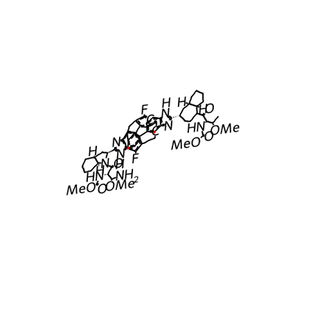 COC(=O)N[C@H](C(=O)C1CC[C@H](c2nc3cc(-c4cc5cc(F)c4CCc4cc(F)c(c(-c6ccc7[nH]c([C@@H]8C[C@@H]9CCCC[C@@H]9N8C(=O)[C@@H](NC(=O)OC)[C@@H](N)OC)nc7c6)c4)CC5)ccc3[nH]2)C[C@@H]2CCCC[C@H]12)[C@@H](C)OC